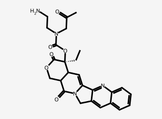 CC[C@@]1(OC(=O)N(CCN)CC(C)=O)C(=O)OCC2C(=O)N3Cc4cc5ccccc5nc4C3=CC21